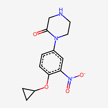 O=C1CNCCN1c1ccc(OC2CC2)c([N+](=O)[O-])c1